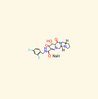 O=C(NCc1ccc(F)cc1F)C1=CN2C[C@@H]3N(C[C@H]4CCCN43)C(=O)C2C(O)C1=O.[NaH]